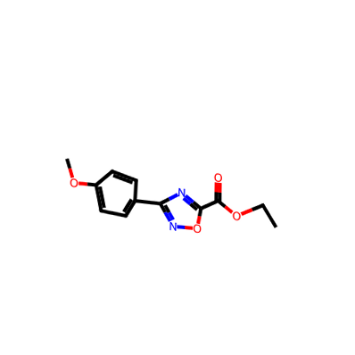 CCOC(=O)c1nc(-c2ccc(OC)cc2)no1